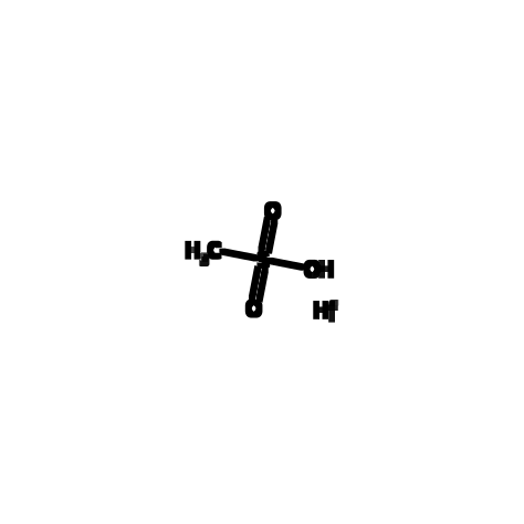 CS(=O)(=O)O.[Hf]